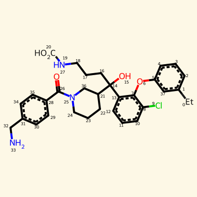 CCc1cccc(Oc2c(Cl)cccc2C(O)(CCCNC(=O)O)C2CCCN(C(=O)c3ccc(CN)cc3)C2)c1